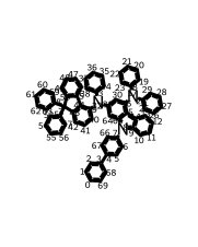 c1ccc(-c2ccc(-n3c4ccccc4c4c(N(c5ccccc5)c5ccccc5)cc(N(c5ccccc5)c5cccc6c5-c5ccccc5C6(c5ccccc5)c5ccccc5)cc43)cc2)cc1